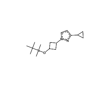 CC(C)(C)[Si](C)(C)OC1CC(n2ccc(C3CC3)n2)C1